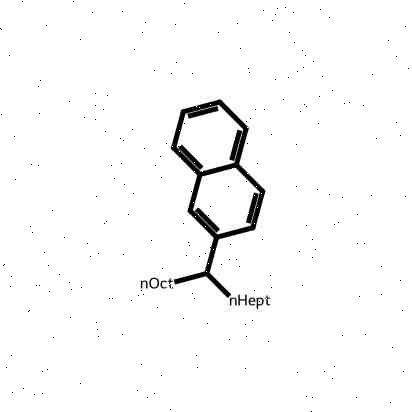 CCCCCCCCC(CCCCCCC)c1ccc2ccccc2c1